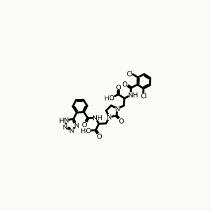 O=C(NC(CN1CCN(CC(NC(=O)c2c(Cl)cccc2Cl)C(=O)O)C1=O)C(=O)O)c1ccccc1-c1nnn[nH]1